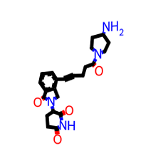 NC1CCN(C(=O)CCC#Cc2cccc3c2CN(C2CCC(=O)NC2=O)C3=O)CC1